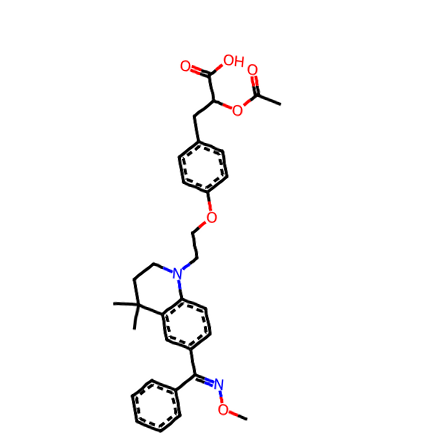 CON=C(c1ccccc1)c1ccc2c(c1)C(C)(C)CCN2CCOc1ccc(CC(OC(C)=O)C(=O)O)cc1